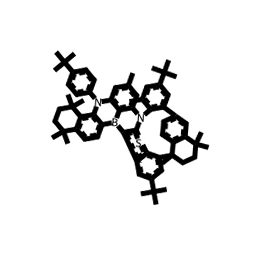 Cc1cc2c3c(c1)N1c4sc5c(cc(C(C)(C)C)cc5c4B3c3ccc4c(c3N2c2ccc(C(C)(C)C)cc2)C(C)(C)CCC4(C)C)C2(C)CCC(C)(C)c3cc(ccc32)-c2cc(C(C)(C)C)cc(C)c21